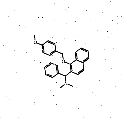 COc1ccc(COc2c(C(c3ccccc3)N(C)C)ccc3ccccc23)cc1